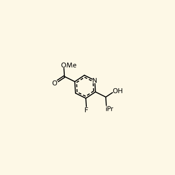 COC(=O)c1cnc(C(O)C(C)C)c(F)c1